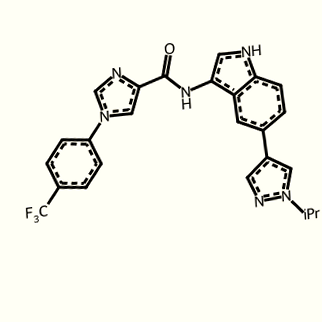 CC(C)n1cc(-c2ccc3[nH]cc(NC(=O)c4cn(-c5ccc(C(F)(F)F)cc5)cn4)c3c2)cn1